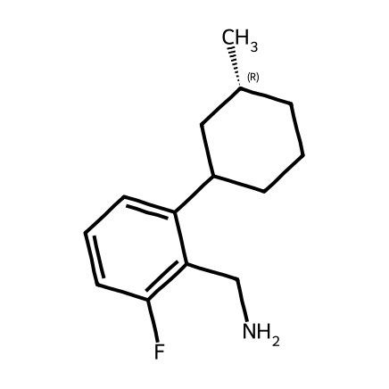 C[C@@H]1CCCC(c2cccc(F)c2CN)C1